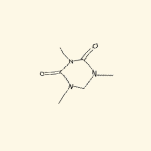 CN1CN(C)C(=O)N(C)C1=O